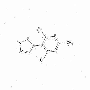 Cc1cc(C)c(N2C=CSC2)c(C)c1